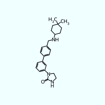 CC1(C)CCC(NCc2ccc(-c3cccc(N4CCNC4=O)c3)cc2)CC1